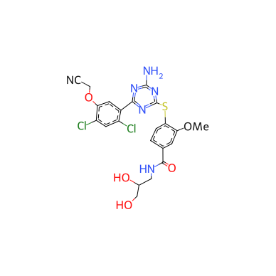 COc1cc(C(=O)NCC(O)CO)ccc1Sc1nc(N)nc(-c2cc(OCC#N)c(Cl)cc2Cl)n1